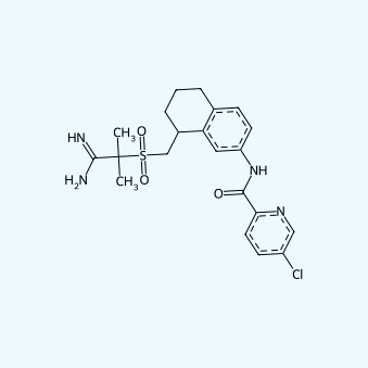 CC(C)(C(=N)N)S(=O)(=O)CC1CCCc2ccc(NC(=O)c3ccc(Cl)cn3)cc21